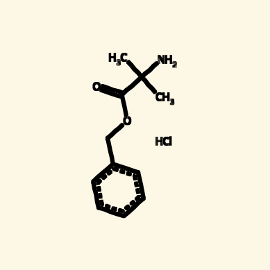 CC(C)(N)C(=O)OCc1ccccc1.Cl